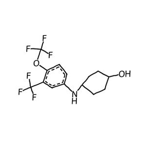 OC1CCC(Nc2ccc(OC(F)(F)F)c(C(F)(F)F)c2)CC1